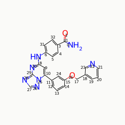 NC(=O)c1ccc(Nc2cc(-c3cccc(OCc4cccnc4)c3)n3ncnc3n2)cc1